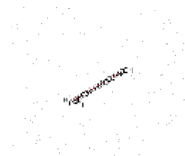 CCC(C)(C)C(=O)OCCOCCOCCOCCOCCOCCOCCOCCOCCOCCOCCOCCOCCOCCOCCO